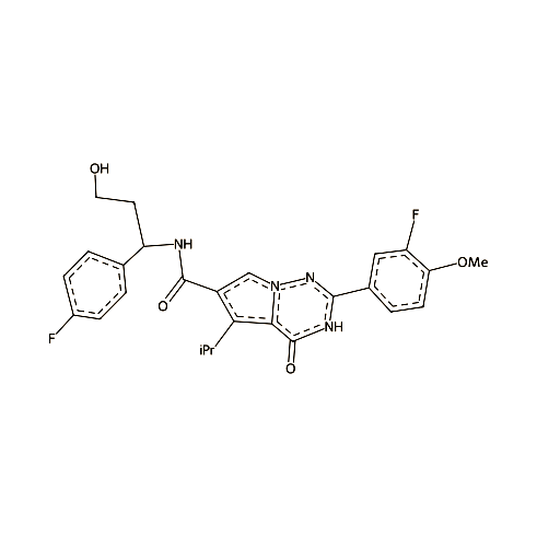 COc1ccc(-c2nn3cc(C(=O)NC(CCO)c4ccc(F)cc4)c(C(C)C)c3c(=O)[nH]2)cc1F